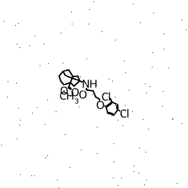 COC(=O)C12CCCC3CC1CC(NC(=O)CCCOc1ccc(Cl)cc1Cl)(C3)C2